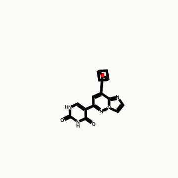 O=c1[nH]cc(-c2cc(N3CC4CC3C4)c3nccn3n2)c(=O)[nH]1